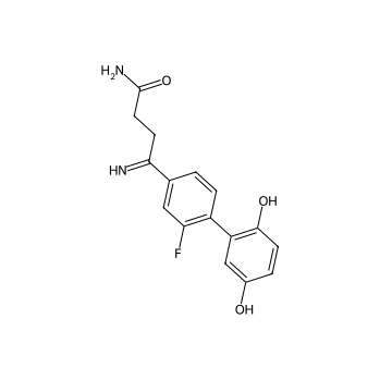 N=C(CCC(N)=O)c1ccc(-c2cc(O)ccc2O)c(F)c1